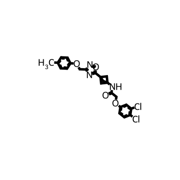 Cc1ccc(OCc2noc(C34CC(NC(=O)COc5ccc(Cl)c(Cl)c5)(C3)C4)n2)cc1